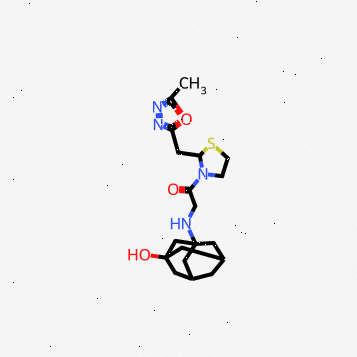 Cc1nnc(CC2SCCN2C(=O)CNC23CC4CC(CC(O)(C4)C2)C3)o1